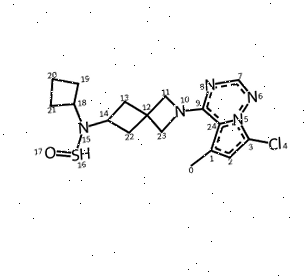 Cc1cc(Cl)n2ncnc(N3CC4(CC(N([SH]=O)C5CCC5)C4)C3)c12